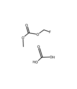 COC(=O)OCF.O=C(O)O